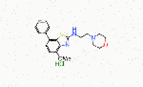 COc1ccc(-c2ccccc2)c2sc(NCCN3CCOCC3)nc12.Cl